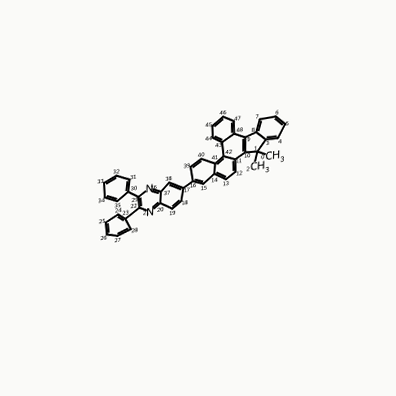 CC1(C)c2ccccc2-c2c1c1ccc3cc(-c4ccc5nc(-c6ccccc6)c(-c6ccccc6)nc5c4)ccc3c1c1ccccc21